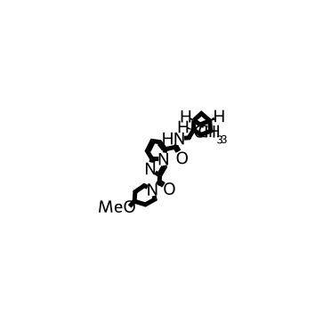 COC1CCN(C(=O)c2cn3c(C(=O)NC[C@@H]4CC[C@H]5C[C@H]4C5(C)C)cccc3n2)CC1